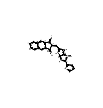 Cn1c(-c2ccco2)nc2sc(C=C3C(=O)c4cc5ccccc5cc4C3=O)nc21